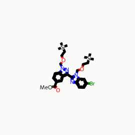 COC(=O)c1ccc2c(c1)c(-c1nc3ccc(Br)cc3n1COCC[Si](C)(C)C)nn2COCC[Si](C)(C)C